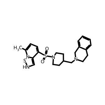 CC1=CC=C(S(=O)(=O)N2CCC(CN3CCc4ccccc4C3)CC2)C2=CNSN12